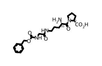 N[C@@H](CCCNC(=O)CNC(=O)OCc1ccccc1)C(=O)N1CCC[C@H]1C(=O)O